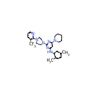 Cc1ccc(C)c(Nc2cc(N3CCCCC3)nc(N3CCN(c4ncccc4C(F)(F)F)CC3)n2)c1